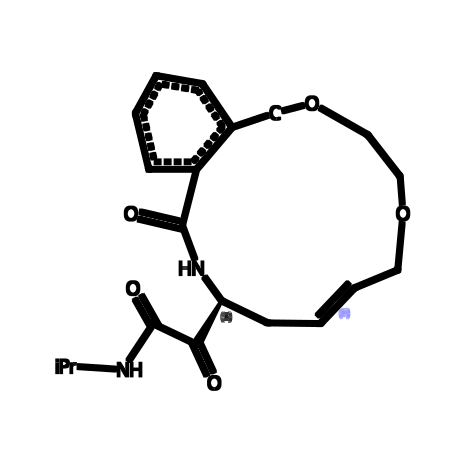 CC(C)NC(=O)C(=O)[C@@H]1C/C=C/COCCOCc2ccccc2C(=O)N1